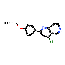 O=C(O)COc1ccc(-c2cc(Cl)c3cnccc3n2)cc1